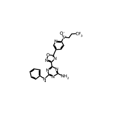 CN(c1ccccc1)c1nc(N)nc(-c2noc(-c3ccc([S+]([O-])CCC(F)(F)F)nc3)n2)n1